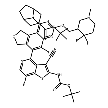 CN1CCC(F)(F)C(COc2nc(N3C4CCC3CN(C(=O)OC(C)(C)C)C4)c3c4c(c(-c5ncc(F)c6sc(NC(=O)OC(C)(C)C)c(C#N)c56)c(F)c3n2)COC4)C1